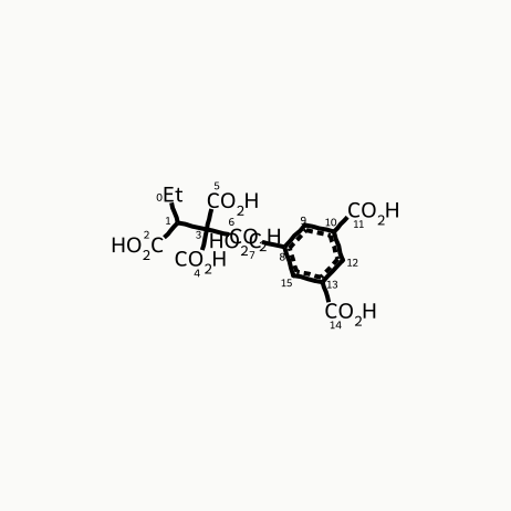 CCC(C(=O)O)C(C(=O)O)(C(=O)O)C(=O)O.O=C(O)c1cc(C(=O)O)cc(C(=O)O)c1